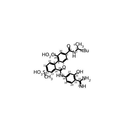 CC(NC(=O)c1ccc(-c2ccccc2C(=O)Nc2ccc(C(=N)N)c(O)c2)c(C(=O)O)c1)C(C)(C)C.CS(=O)(=O)O